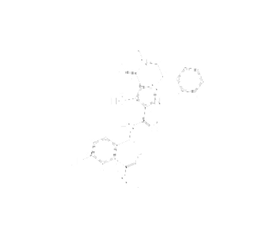 CN1C[C@H](c2ccccc2)n2nc(C(=O)NCc3ccc(F)cc3C(N)=O)c(O)c2C1=O